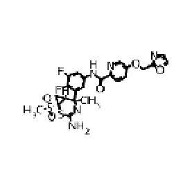 C[C@@]1(c2cc(NC(=O)c3ccc(OCc4ncco4)cn3)cc(F)c2F)N=C(N)S[C@@]2(S(C)(=O)=O)C[C@@H]12